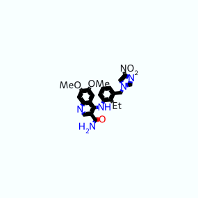 CCc1c(Cn2cnc([N+](=O)[O-])c2)cccc1Nc1c(C(N)=O)cnc2cc(OC)c(OC)cc12